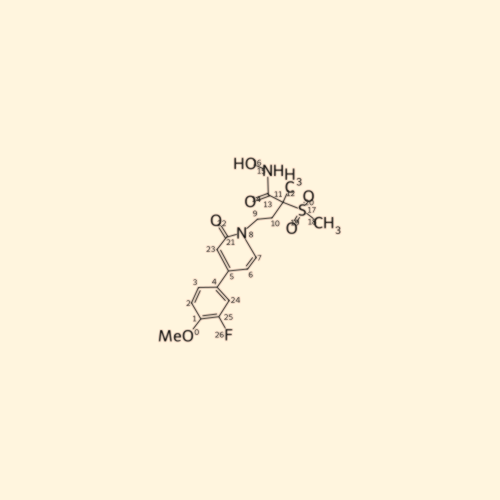 COc1ccc(-c2ccn(CCC(C)(C(=O)NO)S(C)(=O)=O)c(=O)c2)cc1F